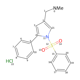 CNCc1cc(-c2ccccc2)n(S(=O)(=O)c2ccccc2)c1.Cl